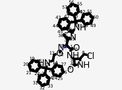 O=C(NC1C(=O)NC1CCl)/C(=N\OCCNC(c1ccccc1)(c1ccccc1)c1ccccc1)c1csc(NC(c2ccccc2)(c2ccccc2)c2ccccc2)n1